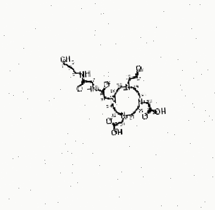 CCCCNC(=O)CNC(=O)CN1CCN(CC=O)CCN(CC(=O)O)CCN(CC(=O)O)CC1